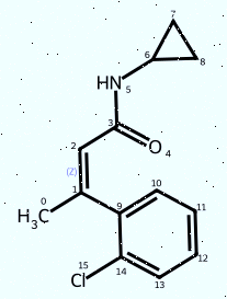 C/C(=C/C(=O)NC1CC1)c1ccccc1Cl